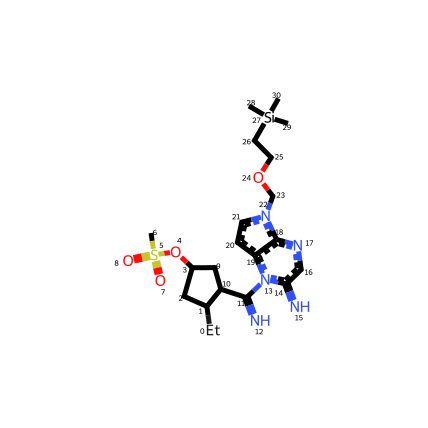 CCC1CC(OS(C)(=O)=O)CC1C(=N)n1c(=N)cnc2c1ccn2COCC[Si](C)(C)C